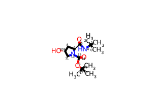 CC(C)(C)NC(=O)[C@@H]1C[C@@H](O)CN1C(=O)OC(C)(C)C